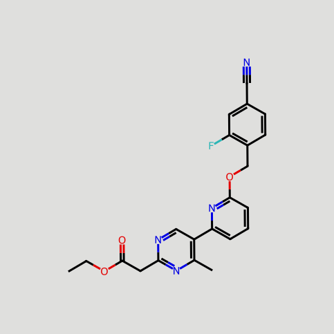 CCOC(=O)Cc1ncc(-c2cccc(OCc3ccc(C#N)cc3F)n2)c(C)n1